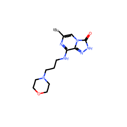 CC(C)(C)c1cn2c(=O)[nH]nc2c(NCCCN2CCOCC2)n1